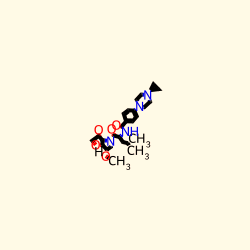 COC1CN(C(=O)C(CC(C)C)NC(=O)c2ccc(N3CCN(C4CC4)CC3)cc2)C2C(=O)CO[C@H]12